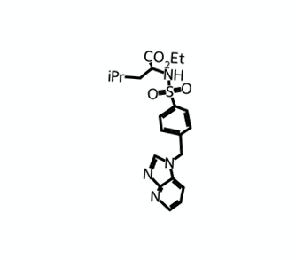 CCOC(=O)[C@H](CC(C)C)NS(=O)(=O)c1ccc(Cn2cnc3ncccc32)cc1